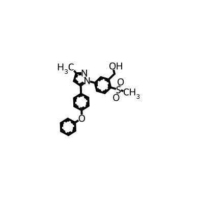 Cc1cc(-c2ccc(Oc3ccccc3)cc2)n(-c2ccc(S(C)(=O)=O)c(CO)c2)n1